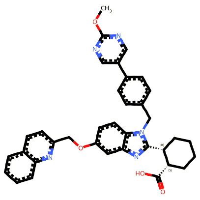 COc1ncc(-c2ccc(Cn3c([C@@H]4CCCC[C@@H]4C(=O)O)nc4cc(OCc5ccc6ccccc6n5)ccc43)cc2)cn1